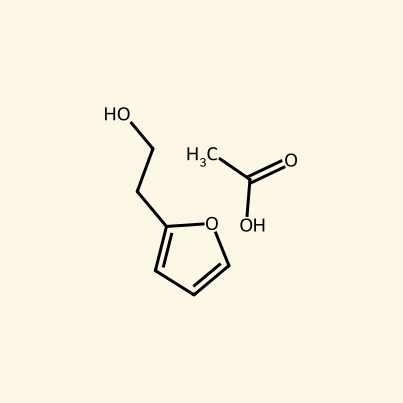 CC(=O)O.OCCc1ccco1